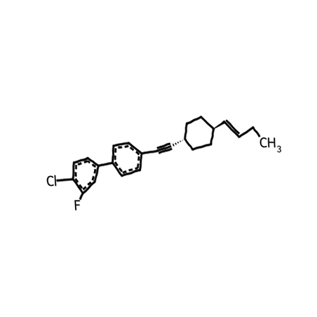 CC/C=C/[C@H]1CC[C@H](C#Cc2ccc(-c3ccc(Cl)c(F)c3)cc2)CC1